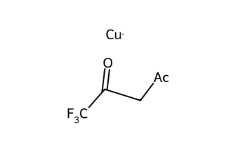 CC(=O)CC(=O)C(F)(F)F.[Cu]